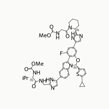 COC(=O)NCC(=O)N1CCCC[C@H]1c1ncc(-c2cc(F)c3c(c2)O[C@@H](c2ccc(C4CC4)s2)n2c-3cc3cc(-c4cnc(CNC(=O)[C@@H](NC(=O)OC)C(C)C)[nH]4)ccc32)[nH]1